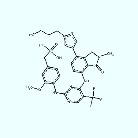 COc1cc(CP(=O)(O)O)ccc1Nc1ncc(C(F)(F)F)c(Nc2ccc(-c3cnn(CCCO)c3)c3c2C(=O)N(C)C3)n1